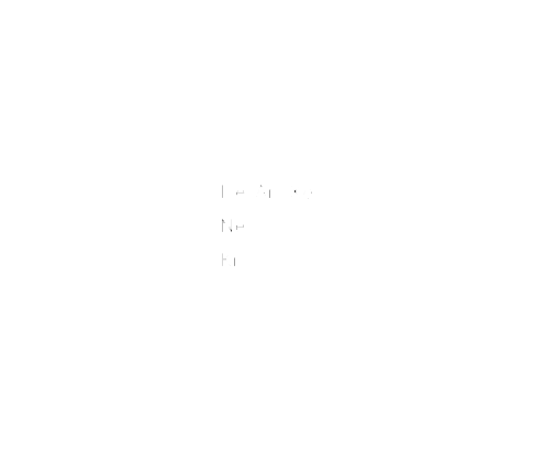 [Ar].[He].[Kr].[Ne].[Xe]